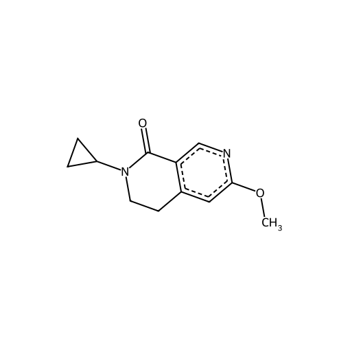 COc1cc2c(cn1)C(=O)N(C1CC1)CC2